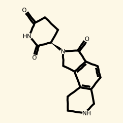 O=C1CC[C@@H](N2Cc3c(ccc4c3CCNC4)C2=O)C(=O)N1